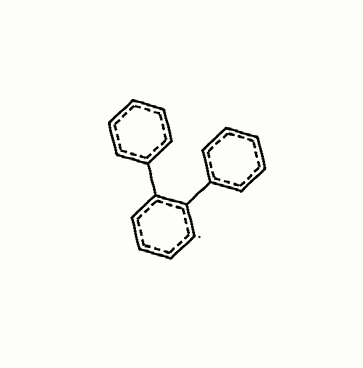 [c]1cccc(-c2ccccc2)c1-c1ccccc1